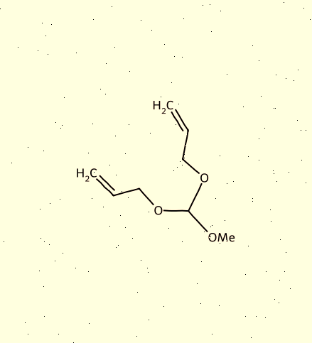 C=CCOC(OC)OCC=C